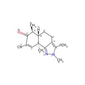 [C-]#[N+]C1=C[C@]2(C)c3nn(C)c(C)c3CC[C@H]2[C@H](C)C1=O